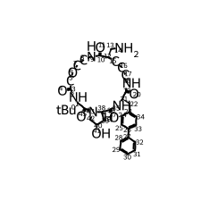 CC(C)(C)[C@@H]1NC(=O)COCCNC(=O)[C@@H](CN)CCCNC(=O)[C@@H](Cc2ccc(-c3ccccc3)cc2)NC(=O)[C@@H]2C[C@@H](O)CN2C1=O